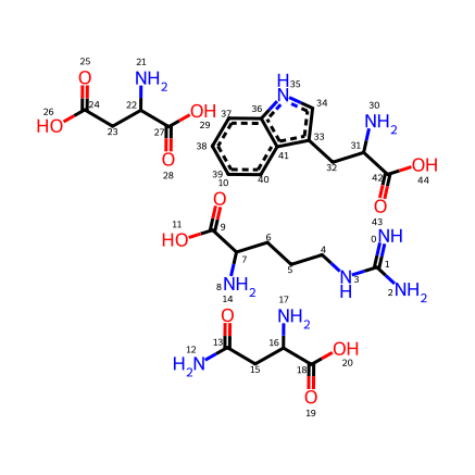 N=C(N)NCCCC(N)C(=O)O.NC(=O)CC(N)C(=O)O.NC(CC(=O)O)C(=O)O.NC(Cc1c[nH]c2ccccc12)C(=O)O